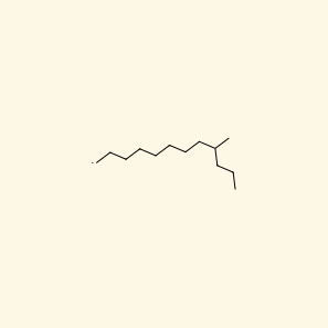 [CH2]CCCCCCCC(C)CCC